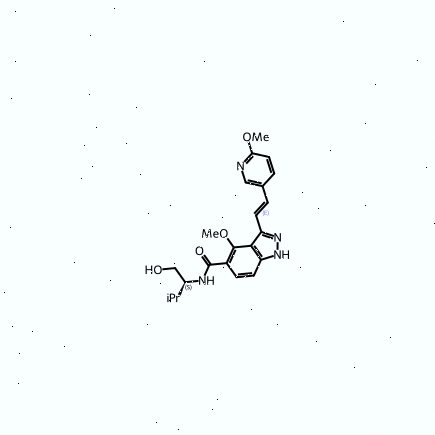 COc1ccc(/C=C/c2n[nH]c3ccc(C(=O)N[C@H](CO)C(C)C)c(OC)c23)cn1